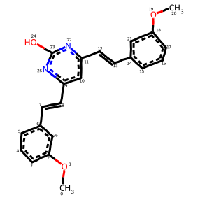 COc1cccc(C=Cc2cc(C=Cc3cccc(OC)c3)nc(O)n2)c1